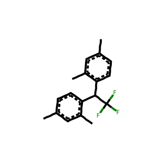 Cc1ccc(C(c2ccc(C)cc2C)C(F)(F)F)c(C)c1